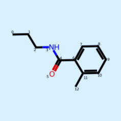 CCCNC(=O)c1ccccc1C